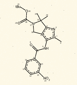 Cn1nc2c(c1NC(=O)c1cccc([N+](=O)[O-])c1)CN(C(=O)OC(C)(C)C)C2(C)C